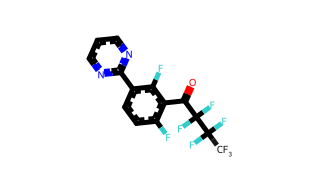 O=C(c1c(F)ccc(-c2ncccn2)c1F)C(F)(F)C(F)(F)C(F)(F)F